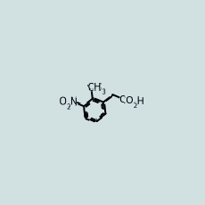 Cc1c(CC(=O)O)cccc1[N+](=O)[O-]